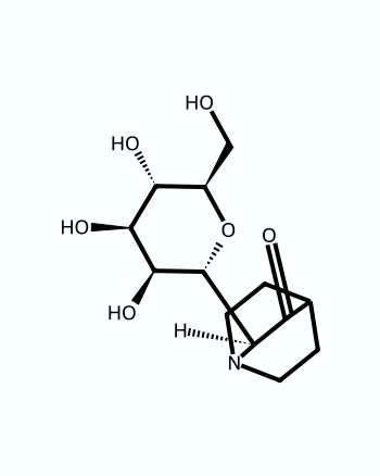 O=C1C2CCN(CC2)[C@H]1[C@H]1O[C@H](CO)[C@@H](O)[C@H](O)[C@@H]1O